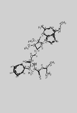 CNc1nc(N)nc2c1ncn2[C@@H]1O[C@H](CO[P@@](=O)(N[C@@H](C)C(=O)OC(C)C)Oc2ccccc2)[C@@H](C)[C@@]1(C)F